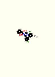 Cc1ccc(N2CCN(CC(O)c3ccccc3O)C[C@H]2c2ccc(Cl)cc2)c(Cl)c1